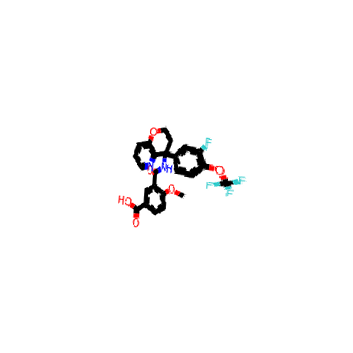 COc1ccc(C(=O)O)cc1C(=O)NC1(c2ccc(OC(F)(F)F)c(F)c2)CCOc2cccnc21